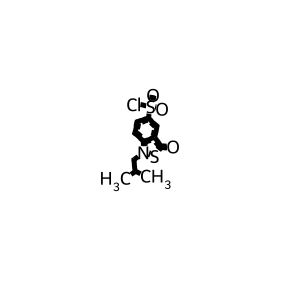 CC(C)Cn1sc(=O)c2cc(S(=O)(=O)Cl)ccc21